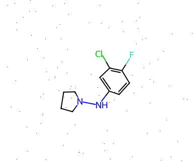 Fc1ccc(NN2CCCC2)cc1Cl